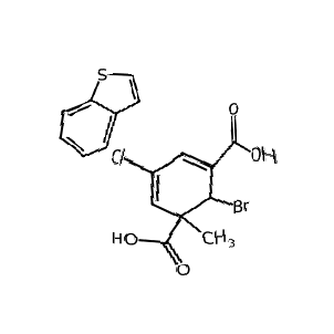 CC1(C(=O)O)C=C(Cl)C=C(C(=O)O)C1Br.c1ccc2sccc2c1